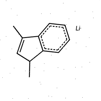 CC1=CC(C)c2ccccc21.[Li]